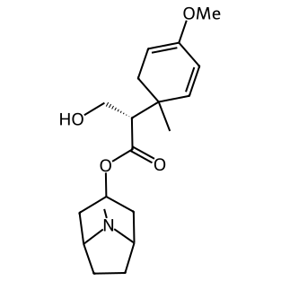 COC1=CCC(C)([C@@H](CO)C(=O)OC2CC3CCC(C2)N3C)C=C1